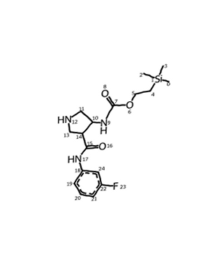 C[Si](C)(C)CCOC(=O)NC1CNCC1C(=O)Nc1cccc(F)c1